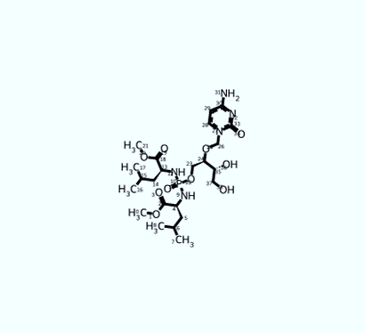 COC(=O)[C@H](CC(C)C)NP(=O)(N[C@@H](CC(C)C)C(=O)OC)OC[C@@H](OCn1ccc(N)nc1=O)[C@H](O)CO